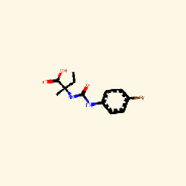 CCC(C)(NC(=O)Nc1ccc(Br)cc1)C(=O)O